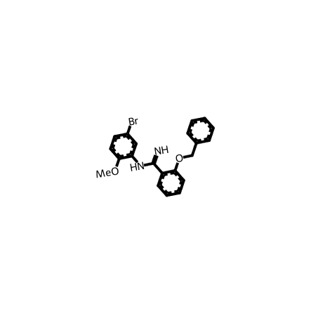 COc1ccc(Br)cc1NC(=N)c1ccccc1OCc1ccccc1